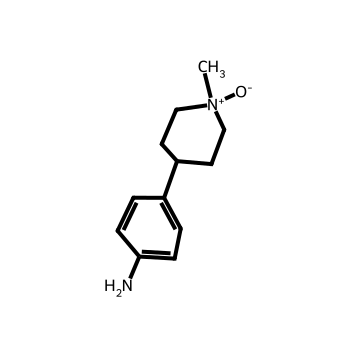 C[N+]1([O-])CCC(c2ccc(N)cc2)CC1